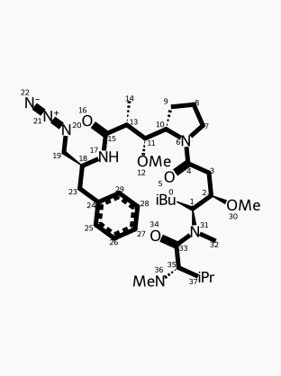 CC[C@H](C)[C@@H]([C@@H](CC(=O)N1CCC[C@H]1[C@H](OC)[C@@H](C)C(=O)N[C@H](CN=[N+]=[N-])Cc1ccccc1)OC)N(C)C(=O)[C@@H](NC)C(C)C